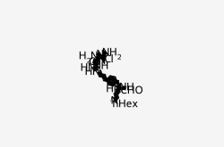 CCCCCCN(C)CCCN[C@@H](Cc1ccc(CCCCNC(=N)NC(=O)c2nc(Cl)c(N)nc2N)cc1)NC=O